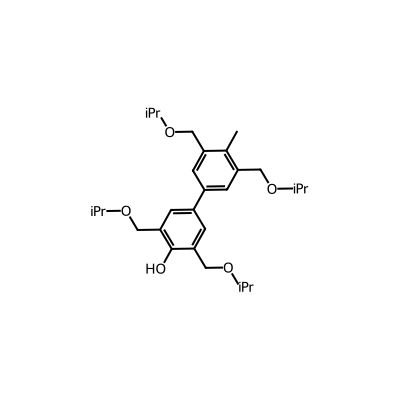 Cc1c(COC(C)C)cc(-c2cc(COC(C)C)c(O)c(COC(C)C)c2)cc1COC(C)C